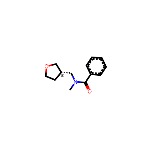 CN(C[C@@H]1CCOC1)C(=O)c1ccccc1